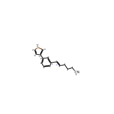 N#CCCC/C=C/c1cccc(-c2ccsc2)c1